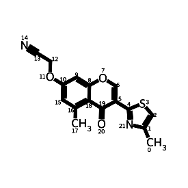 Cc1csc(-c2coc3cc(OCC#N)cc(C)c3c2=O)n1